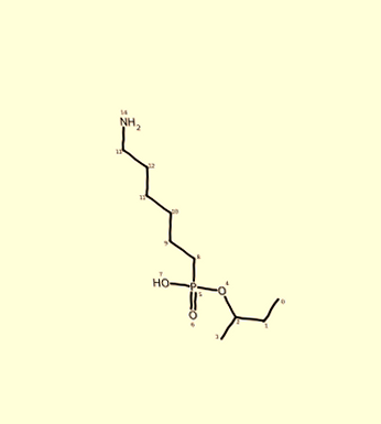 CCC(C)OP(=O)(O)CCCCCCN